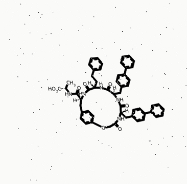 C[C@H](NC(=O)[C@@H]1Cc2ccc(cc2)OCC(=O)N[C@@H](Cc2ccc(-c3ccccc3)cc2)C(=O)N[C@H](Cc2ccc(-c3ccccc3)cc2)C(=O)N[C@@H](CCc2ccccc2)C(=O)N1)C(=O)O